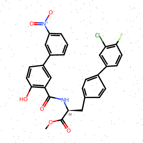 COC(=O)[C@H](Cc1ccc(-c2ccc(F)c(Cl)c2)cc1)NC(=O)c1cc(-c2cccc([N+](=O)[O-])c2)ccc1O